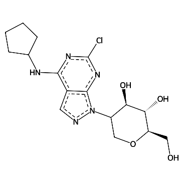 OC[C@H]1OCC(n2ncc3c(NC4CCCC4)nc(Cl)nc32)[C@@H](O)[C@@H]1O